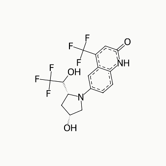 O=c1cc(C(F)(F)F)c2cc(N3C[C@H](O)C[C@@H]3C(O)C(F)(F)F)ccc2[nH]1